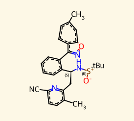 Cc1ccc2c(-c3ccccc3[C@H](Cc3nc(C#N)ccc3C)N[S@@+]([O-])C(C)(C)C)noc2c1